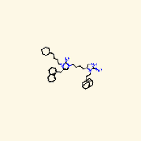 N=C1NC[C@H](CCCCN2C[C@@H](Cc3cccc4ccccc34)N(CCCCC3CCCCC3)C2=N)N1CCC12CC3CC(CC(C3)C1)C2